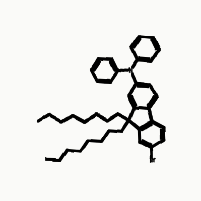 CCCCCCCCC1(CCCCCCCC)c2cc(Br)ccc2-c2ccc(N(c3ccccc3)c3ccccc3)cc21